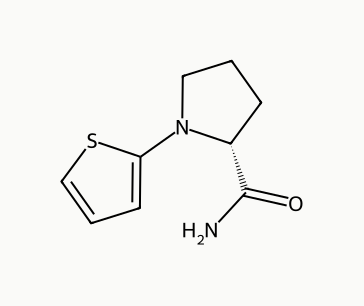 NC(=O)[C@H]1CCCN1c1cccs1